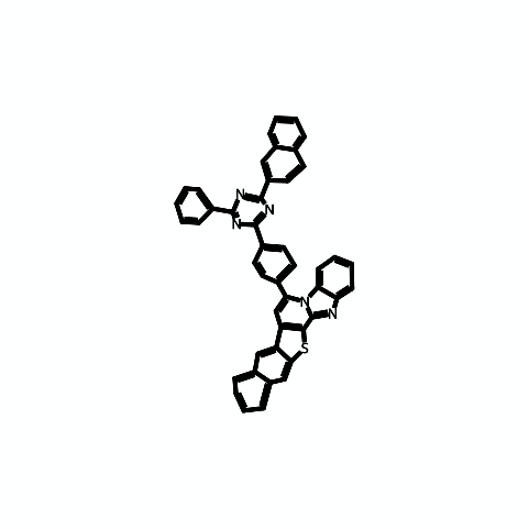 c1ccc(-c2nc(-c3ccc(-c4cc5c6cc7ccccc7cc6sc5c5nc6ccccc6n45)cc3)nc(-c3ccc4ccccc4c3)n2)cc1